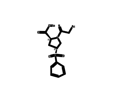 COC(=O)[C@@H]1C[C@@H](S(=O)(=O)c2ccccc2)CN1C(=S)CC(C)=O